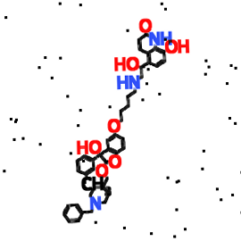 Cc1cccc(C(O)(C(=O)OCC2CCN(Cc3ccccc3)CC2)c2cccc(OCCCCCNCC(O)c3ccc(O)c4[nH]c(=O)ccc34)c2)c1